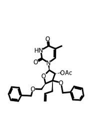 C=CC[C@@]1(OCc2ccccc2)[C@@H](COCc2ccccc2)O[C@@H](n2cc(C)c(=O)[nH]c2=O)[C@@H]1OC(C)=O